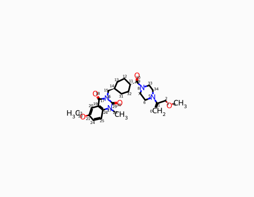 C=C(COC)N1CCN(C(=O)[C@H]2CC[C@H](Cn3c(=O)c4cc(OC)ccc4n(C)c3=O)CC2)CC1